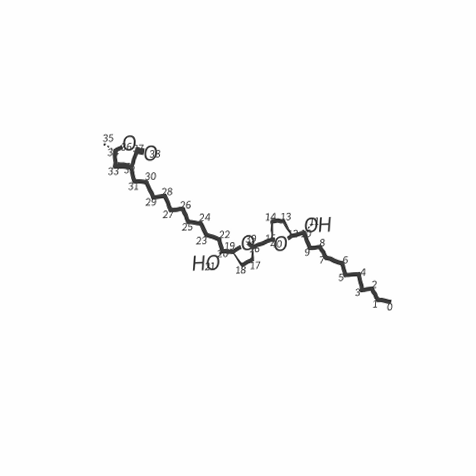 CCCCCCCCCC[C@@H](O)[C@@H]1CC[C@H]([C@H]2CC[C@@H]([C@@H](O)CCCCCCCCCCC3=C[C@H](C)OC3=O)O2)O1